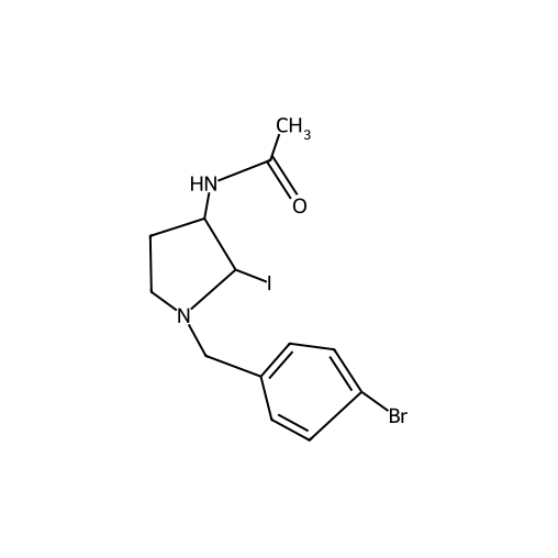 CC(=O)NC1CCN(Cc2ccc(Br)cc2)C1I